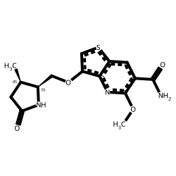 COc1nc2c(OC[C@H]3NC(=O)C[C@H]3C)csc2cc1C(N)=O